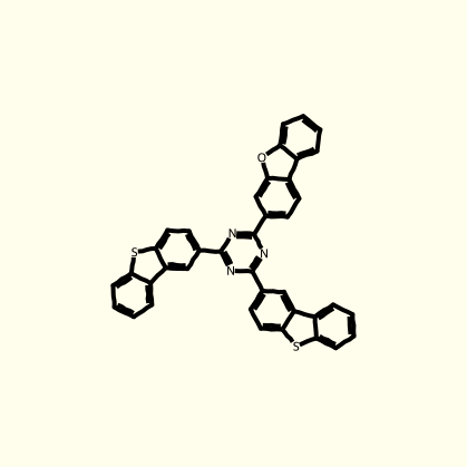 c1ccc2c(c1)oc1cc(-c3nc(-c4ccc5sc6ccccc6c5c4)nc(-c4ccc5sc6ccccc6c5c4)n3)ccc12